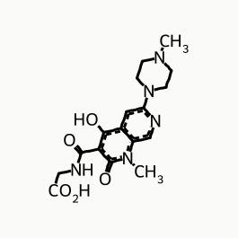 CN1CCN(c2cc3c(O)c(C(=O)NCC(=O)O)c(=O)n(C)c3cn2)CC1